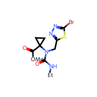 CCNC(=O)N(Cc1nnc(Br)s1)C1(C(=O)OC)CC1